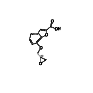 O=C(O)c1cc2cccc(OC[C@@H]3CO3)c2o1